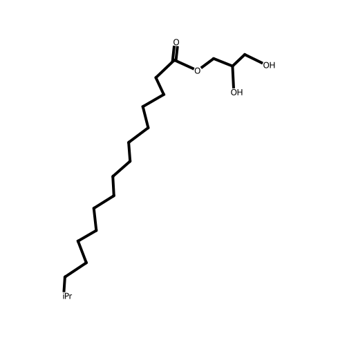 CC(C)CCCCCCCCCCCCCC(=O)OCC(O)CO